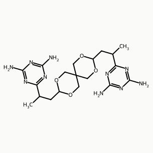 CC(CC1OCC2(CO1)COC(CC(C)c1nc(N)nc(N)n1)OC2)c1nc(N)nc(N)n1